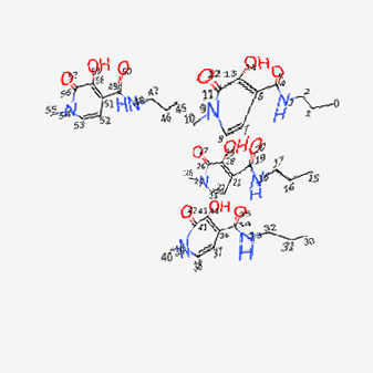 CCCNC(=O)c1ccn(C)c(=O)c1O.CCCNC(=O)c1ccn(C)c(=O)c1O.CCCNC(=O)c1ccn(C)c(=O)c1O.CCCNC(=O)c1ccn(C)c(=O)c1O